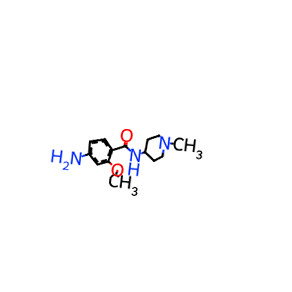 COc1cc(N)ccc1C(=O)NC1CCN(C)CC1